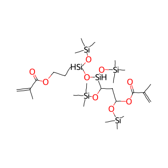 C=C(C)C(=O)OCCC[SiH](O[SiH](O[Si](C)(C)C)C(CC(OC(=O)C(=C)C)O[Si](C)(C)C)O[Si](C)(C)C)O[Si](C)(C)C